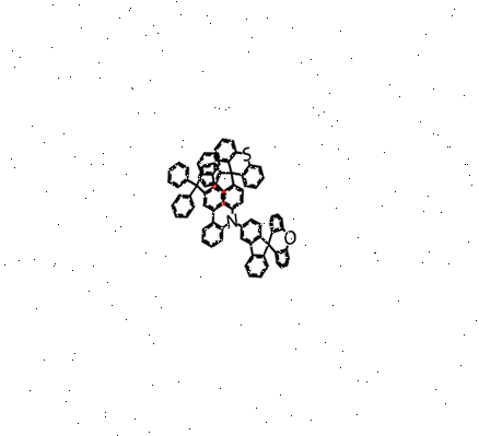 c1ccc(C2(c3ccccc3)c3ccccc3-c3ccc(-c4ccccc4N(c4ccc5c(c4)-c4ccccc4C54c5ccccc5Oc5ccccc54)c4ccc5c(c4)-c4ccccc4C54c5ccccc5Sc5ccccc54)cc32)cc1